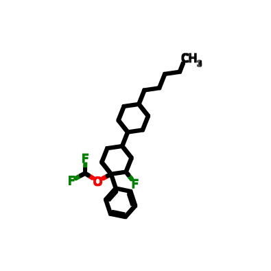 CCCCCC1CCC(C2CCC(OC(F)F)(c3ccccc3)C(F)C2)CC1